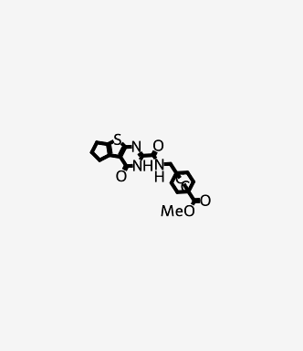 COC(=O)C12CCC(CNC(=O)c3nc4sc5c(c4c(=O)[nH]3)CCC5)(CC1)CC2